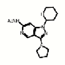 CC(=O)Nc1cc2c(cn1)c(N1CCCC1)nn2C1CCCCO1